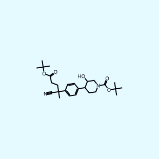 CC(C)(C)OC(=O)CCC(C)(C#N)c1ccc(C2CCN(C(=O)OC(C)(C)C)CC2O)cc1